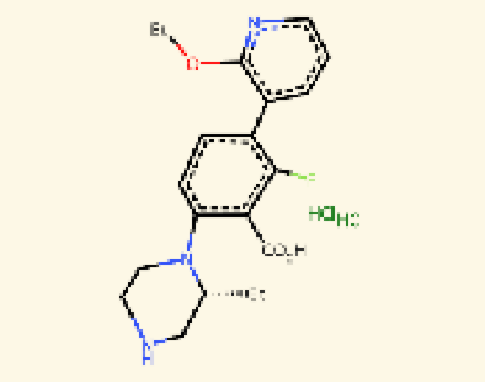 CCOc1ncccc1-c1ccc(N2CCNC[C@H]2CC)c(C(=O)O)c1F.Cl.Cl